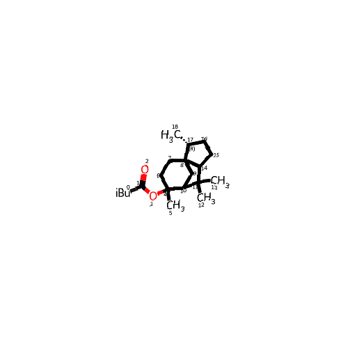 CCC(C)C(=O)OC1(C)CCC23CC1C(C)(C)C2CC[C@H]3C